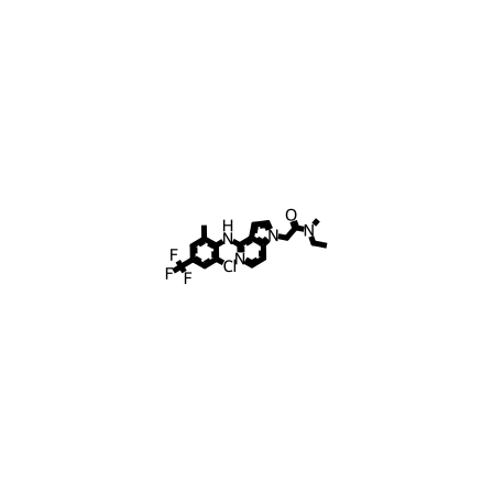 CCN(C)C(=O)Cn1ccc2c(Nc3c(C)cc(C(F)(F)F)cc3Cl)nccc21